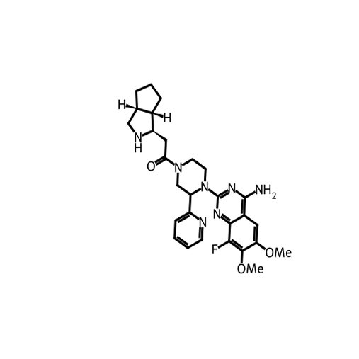 COc1cc2c(N)nc(N3CCN(C(=O)C[C@H]4NC[C@@H]5CCC[C@@H]54)CC3c3ccccn3)nc2c(F)c1OC